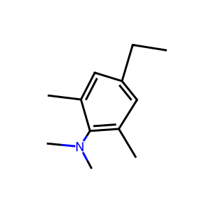 CCc1cc(C)c(N(C)C)c(C)c1